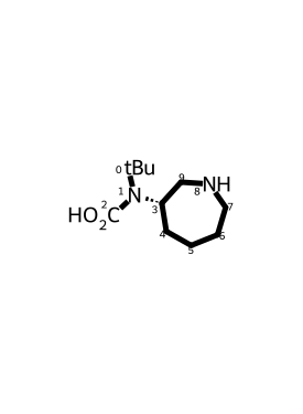 CC(C)(C)N(C(=O)O)[C@H]1CCCCNC1